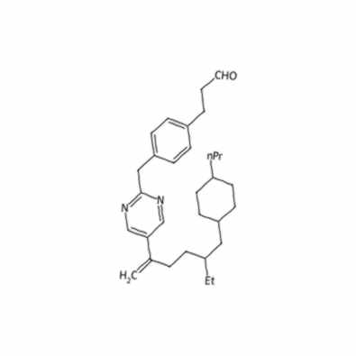 C=C(CCC(CC)CC1CCC(CCC)CC1)c1cnc(Cc2ccc(CCC=O)cc2)nc1